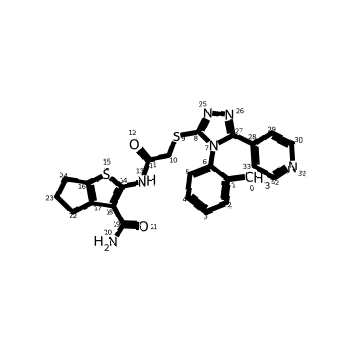 Cc1ccccc1-n1c(SCC(=O)Nc2sc3c(c2C(N)=O)CCC3)nnc1-c1ccncc1